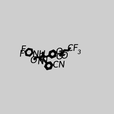 Cc1c(C(=O)NC2CCC(F)(F)CC2)nn(-c2cccc(C#N)c2)c1-c1ccc(OS(=O)(=O)CCC(F)(F)F)cc1